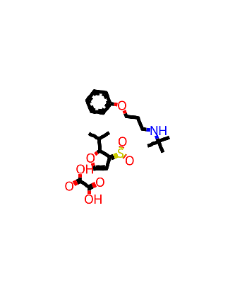 CC(C)(C)NCCCOc1ccccc1.CC(C)C1OC=CC1=S(=O)=O.O=C(O)C(=O)O